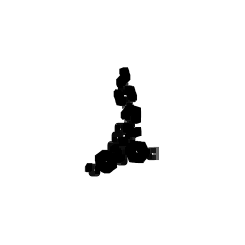 CCCN1CCN(C2CCN(C(=O)C(C)n3c(=O)n(S(=O)(=O)c4ccc(OC)cc4)c4ccc(Cl)cc43)C2)CC1